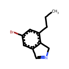 CCCc1cc(Br)cc2c1CN=C2